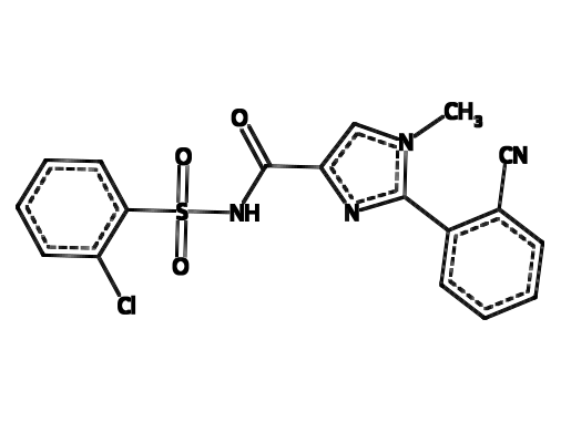 Cn1cc(C(=O)NS(=O)(=O)c2ccccc2Cl)nc1-c1ccccc1C#N